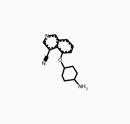 N#Cc1cncc2cccc(OC3CCC(N)CC3)c12